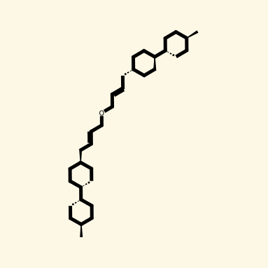 C[C@H]1CC[C@H]([C@H]2CC[C@H](CC=CCOCC=CC[C@H]3CC[C@H]([C@H]4CC[C@H](C)CC4)CC3)CC2)CC1